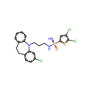 N=S(=O)(NCCCN1c2ccccc2CCc2ccc(Cl)cc21)c1cc(Cl)c(Cl)s1